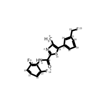 Cc1nc(C(=O)Nc2c(F)cccc2F)sc1-c1cccc(CF)c1